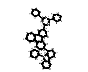 c1ccc(-c2nc(-c3ccccc3)nc(-c3ccc4c(c3)c3ccccc3c3ccc(-c5cccc6c7ccccc7n(-c7ccccc7)c56)cc34)n2)cc1